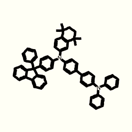 CC1(C)CCC(C)(C)c2cc(N(c3ccc(-c4ccc(N(c5ccccc5)c5ccccc5)cc4)cc3)c3ccc(C4(c5ccccc5)c5ccccc5-c5ccccc54)cc3)ccc21